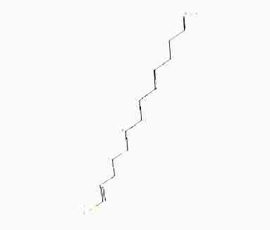 CCCCCCCCCCCCCCCCCCCCC=CP